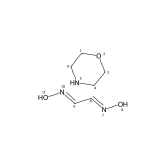 C1COCCN1.ON=CC=NO